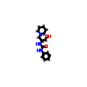 O=C(Nc1ccccc1)NC(CO)CN1CC[CH]CC1